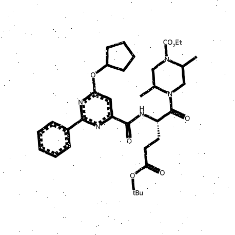 CCOC(=O)N1CC(C)N(C(=O)[C@H](CCC(=O)OC(C)(C)C)NC(=O)c2cc(OC3CCCC3)nc(-c3ccccc3)n2)CC1C